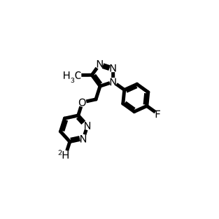 [2H]c1ccc(OCc2c(C)nnn2-c2ccc(F)cc2)nn1